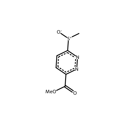 COC(=O)c1ccc([S+](C)[O-])nn1